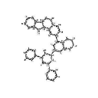 c1ccc(-c2nc(-c3ccccc3)nc(-c3cc(-c4ccc5ccc6c7ccncc7sc6c5c4)c4ccccc4c3)n2)cc1